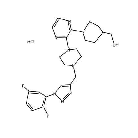 Cl.OCC1CCN(c2nccnc2N2CCN(Cc3cnn(-c4cc(F)ccc4F)c3)CC2)CC1